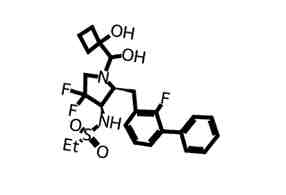 CCS(=O)(=O)N[C@@H]1[C@H](Cc2cccc(-c3ccccc3)c2F)N(C(O)C2(O)CCC2)CC1(F)F